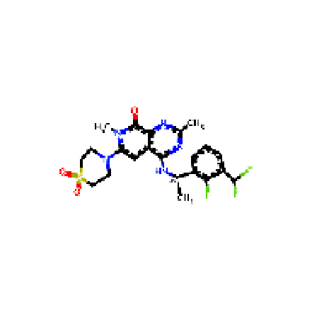 Cc1nc(N[C@H](C)c2cccc(C(F)F)c2F)c2cc(N3CCS(=O)(=O)CC3)n(C)c(=O)c2n1